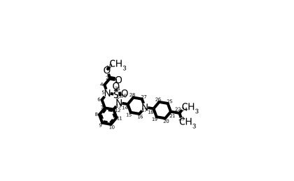 COC(=O)CN1Cc2ccccc2N(C2CCN(C3CCC(C(C)C)CC3)CC2)S1(=O)=O